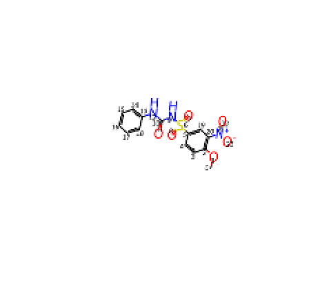 COc1ccc(S(=O)(=O)NC(=O)Nc2ccccc2)cc1[N+](=O)[O-]